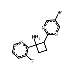 NC1(c2ncccc2F)CCC1c1ncc(Br)cn1